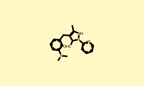 CC1=C(Cc2cccc(N(C)C)c2)C(C=O)N(c2ccccn2)N1